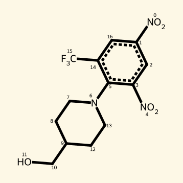 O=[N+]([O-])c1cc([N+](=O)[O-])c(N2CCC(CO)CC2)c(C(F)(F)F)c1